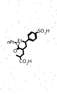 CCCOC(=O)C(CC(C)C(=O)O)CC(CC)c1ccc(S(=O)(=O)O)cc1